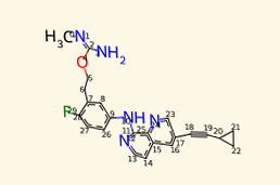 C/N=C(/N)OCCc1cc(Nc2nccc3cc(C#CC4CC4)cnc23)ccc1F